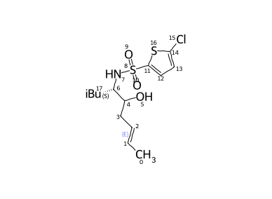 C/C=C/CC(O)C(NS(=O)(=O)c1ccc(Cl)s1)[C@@H](C)CC